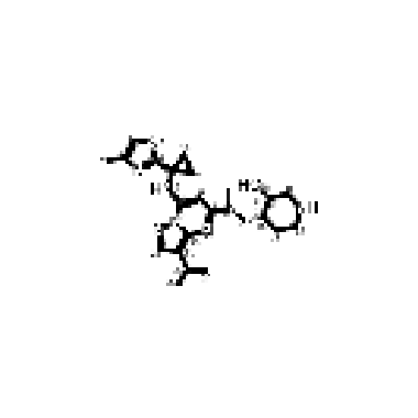 Cc1csc(C2(Nc3cc(NC[C@H]4CCNC[C@@H]4O)nc4c(C(C)C)cnn34)CC2)n1